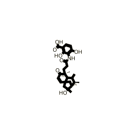 CC1C2C3(C=CC(=O)[C@@]2(C)CCC(=O)Nc2c(O)ccc(C(=O)O)c2O)CC([C@@H]1C)C(C)(O)C3